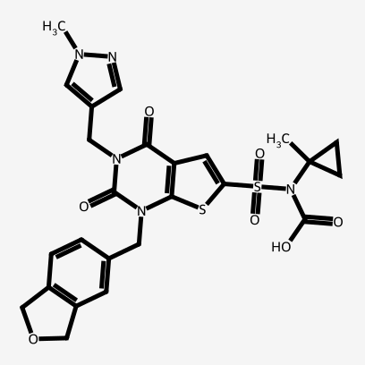 Cn1cc(Cn2c(=O)c3cc(S(=O)(=O)N(C(=O)O)C4(C)CC4)sc3n(Cc3ccc4c(c3)COC4)c2=O)cn1